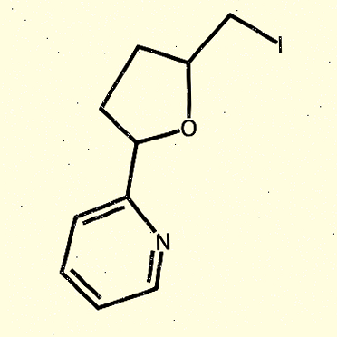 ICC1CCC(c2ccccn2)O1